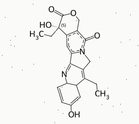 CCC1=C2Cn3c(cc4c(c3=O)COC(=O)[C@]4(O)CC)C2=NC2C=CC(O)=CC12